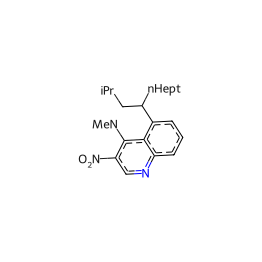 CCCCCCCC(CC(C)C)c1cccc2ncc([N+](=O)[O-])c(NC)c12